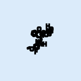 CCOc1cc2nc(CC3=NN(CC(=O)NS(C)(=O)=O)C(=O)c4ccccc4C3)[nH]c2cc1F